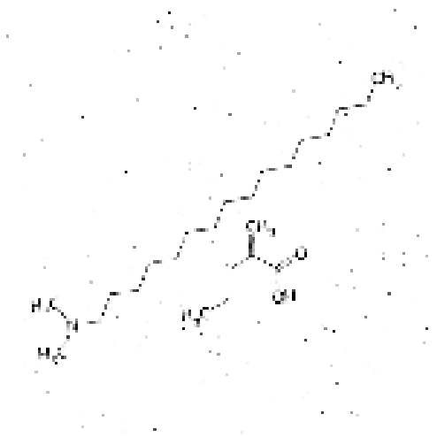 C=C(CCC)C(=O)O.CCCCCCCCCCCCCCCCN(C)C